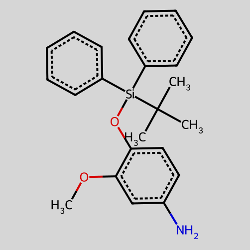 COc1cc(N)ccc1O[Si](c1ccccc1)(c1ccccc1)C(C)(C)C